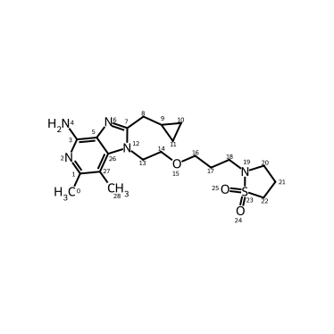 Cc1nc(N)c2nc(CC3CC3)n(CCOCCCN3CCCS3(=O)=O)c2c1C